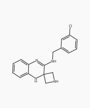 Clc1cccc(CNC2=Nc3ccccc3NC23CNC3)c1